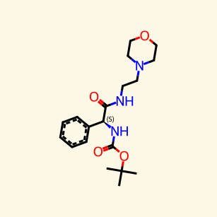 CC(C)(C)OC(=O)N[C@H](C(=O)NCCN1CCOCC1)c1ccccc1